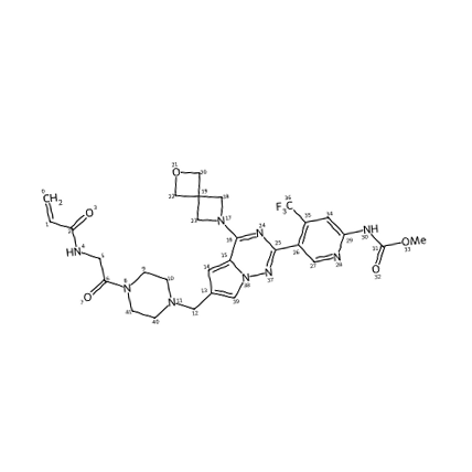 C=CC(=O)NCC(=O)N1CCN(Cc2cc3c(N4CC5(COC5)C4)nc(-c4cnc(NC(=O)OC)cc4C(F)(F)F)nn3c2)CC1